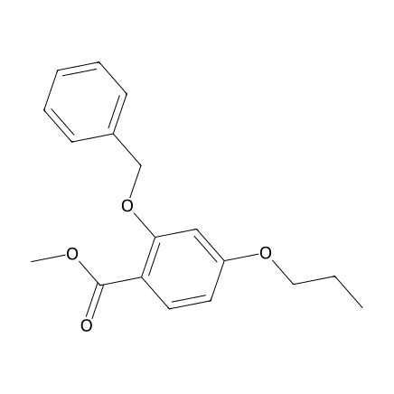 CCCOc1ccc(C(=O)OC)c(OCc2ccccc2)c1